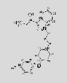 CCC(=O)c1cn(CCCN2CCC(Oc3ccc(F)cc3)CC2)c2ccccc12